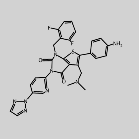 CN(C)Cc1c(-c2ccc(N)cc2)sc2c1c(=O)n(-c1ccc(-n3nccn3)cn1)c(=O)n2Cc1c(F)cccc1F